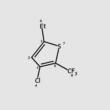 CCc1cc(Cl)c(C(F)(F)F)s1